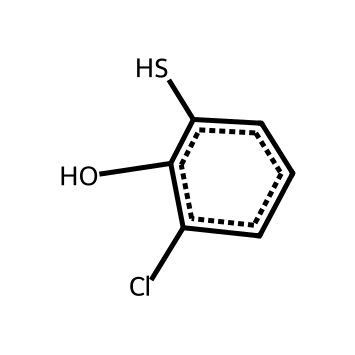 Oc1c(S)cccc1Cl